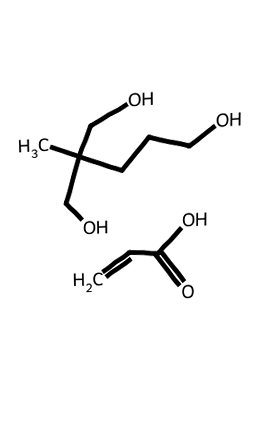 C=CC(=O)O.CC(CO)(CO)CCCO